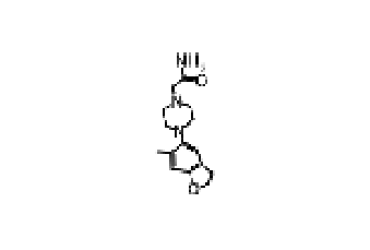 Cc1cc2c(cc1N1CCN(CC(N)=O)CC1)CCO2